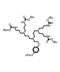 CCCCCc1ccc(OCCN(CCCN(CCCNC(=O)OC(C)(C)C)CCCNC(=O)OC(C)(C)C)CCCN(CCCNC(=O)OC(C)(C)C)CCCNC(=O)OC(C)(C)C)cc1